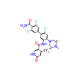 C[C@@H]1CN(c2cc(F)c(-c3cc(F)c(C(N)=O)c(F)c3)cc2NC(=O)c2c[nH]c(=O)cc2C(F)(F)F)C[C@H](C)N1C